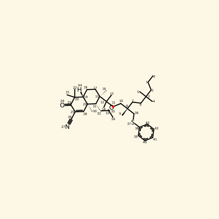 CCCC(C)(C)CC[C@@](C)(CCC(C)(C)[C@]1(C)CC[C@H]2C(C)(C)C(=O)C(C#N)=C[C@]2(C)[C@H]1CC(C)=O)CSc1ccccc1